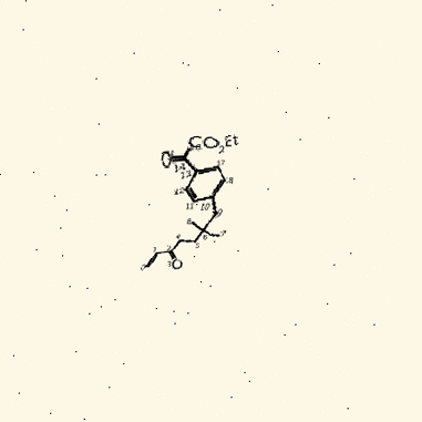 C=CC(=O)CCC(C)(C)Cc1ccc(C(=O)C(=O)OCC)cc1